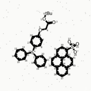 CC(C)(C)OC(=O)COc1ccc([S+](c2ccccc2)c2ccccc2)cc1.O=S(=O)([O-])c1ccc2ccc3cccc4ccc1c2c34